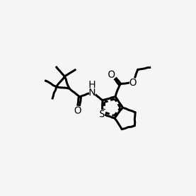 CCOC(=O)c1c(NC(=O)C2C(C)(C)C2(C)C)sc2c1CCC2